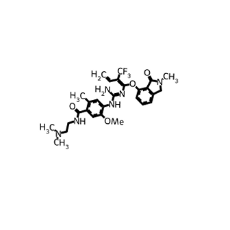 C=C/C(=C(\N=C(/N)Nc1cc(C)c(C(=O)NCCN(C)C)cc1OC)Oc1cccc2c1C(=O)N(C)C2)C(F)(F)F